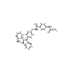 CC(=O)Nc1ccc(C(=O)NCc2ccc(-n3c(-c4cccnc4N)nc4cccnc43)cc2)cc1